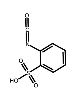 O=C=Nc1ccccc1S(=O)(=O)O